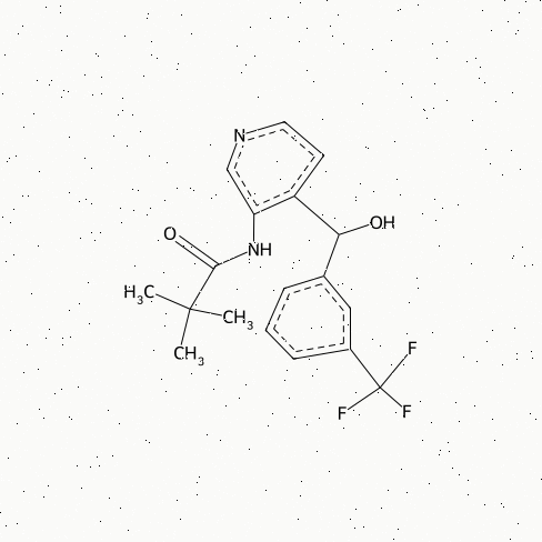 CC(C)(C)C(=O)Nc1cnccc1C(O)c1cccc(C(F)(F)F)c1